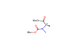 COC(=O)[C@@H](C)N(C)C(=O)OC(C)(C)C